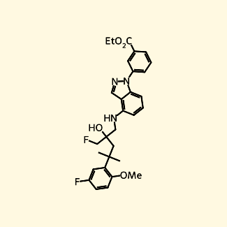 CCOC(=O)c1cccc(-n2ncc3c(NCC(O)(CF)CC(C)(C)c4cc(F)ccc4OC)cccc32)c1